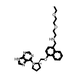 [CH2]COCCOCCNCc1ccc(OC[C@H]2CCCN2c2ncnc3[nH]cnc23)c2ccccc12